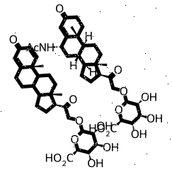 CC(=O)N[C@H]1C[C@H]2[C@@H]3CC[C@H](C(=O)COC4O[C@H](C(=O)O)[C@@H](O)[C@H](O)[C@H]4O)[C@@]3(C)CC[C@@H]2[C@@]2(C)CCC(=O)C=C12.C[C@]12C=CC(=O)C=C1CCC1C2CC[C@@]2(C)C1CC[C@@H]2C(=O)COC1O[C@H](C(=O)O)[C@@H](O)[C@H](O)[C@H]1O